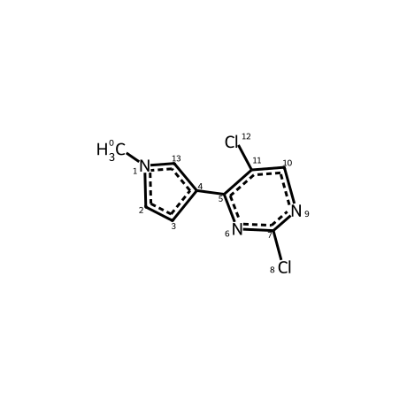 Cn1ccc(-c2nc(Cl)ncc2Cl)c1